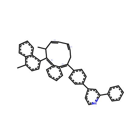 Cc1ccc(/C2=c3\cccc\c3=C(/c3ccc(-c4ccnc(-c5ccccc5)c4)cc3)C/C=C\C=C/C2C)c2ccccc12